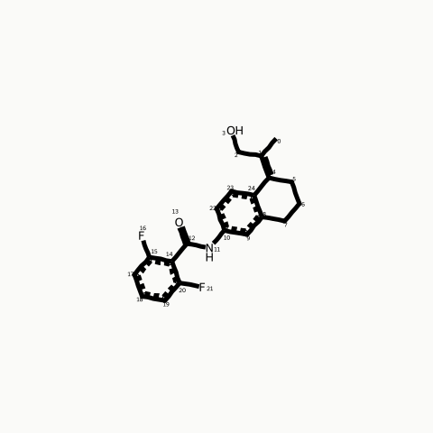 CC(CO)=C1CCCc2cc(NC(=O)c3c(F)cccc3F)ccc21